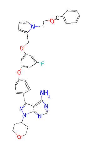 Nc1ncnc2c1c(-c1ccc(Oc3cc(F)cc(OCc4cccn4CCOCc4ccccc4)c3)cc1)nn2C1CCOCC1